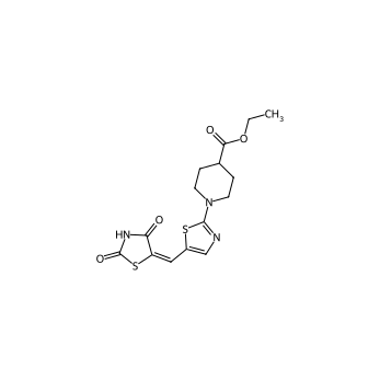 CCOC(=O)C1CCN(c2ncc(C=C3SC(=O)NC3=O)s2)CC1